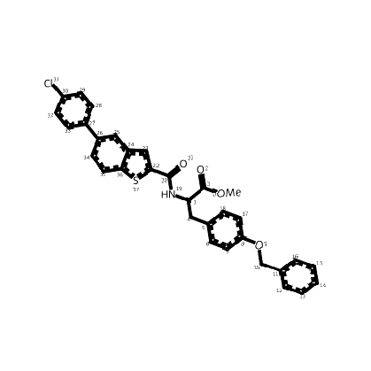 COC(=O)C(Cc1ccc(OCc2ccccc2)cc1)NC(=O)c1cc2cc(-c3ccc(Cl)cc3)ccc2s1